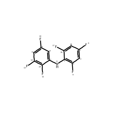 Fc1cc(F)c(Bc2cc(F)cc(F)c2F)c(F)c1